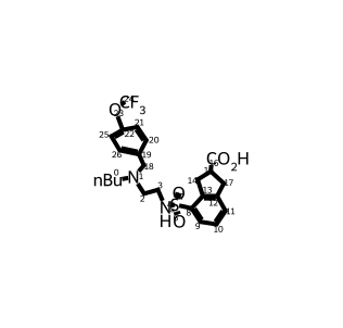 CCCCN(CCNS(=O)(=O)c1cccc2c1CC(C(=O)O)C2)Cc1ccc(OC(F)(F)F)cc1